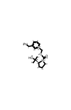 CC(C)Cc1ccc[n+](COC(=O)N2CCC[C@H]2C(C)(C)O)c1